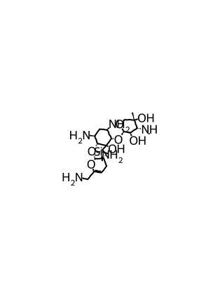 CN[C@@H]1[C@@H](O)[C@@H](O[C@H]2[C@H](N)C[C@H](N)[C@@H](O[C@H]3OC(CN)=CC[C@H]3N)[C@@]2(O)[Si](C)(C)C)OC[C@]1(C)O